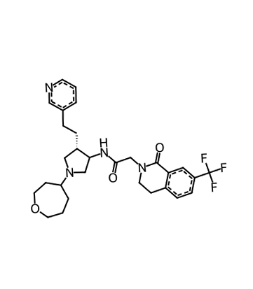 O=C(CN1CCc2ccc(C(F)(F)F)cc2C1=O)NC1CN(C2CCCOCC2)C[C@@H]1CCc1cccnc1